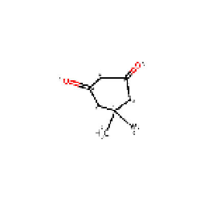 CC(C)C1(C)CC(=O)CC(=O)C1